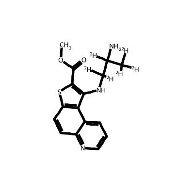 [2H]C([2H])([2H])C([2H])(N)C([2H])([2H])Nc1c(C(=O)OC)sc2ccc3ncccc3c12